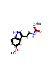 CCOc1ccc2[nH]cc(CCNC(=O)OC(C)(C)C)c2c1